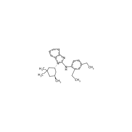 CCc1ccc(Nc2nc3ccccc3n2[C@@H]2C[C@@H](C)CC(C)(C)C2)c(CC)c1